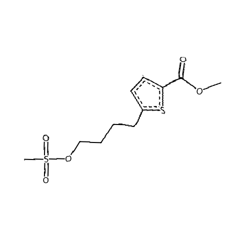 COC(=O)c1[c]cc(CCCCOS(C)(=O)=O)s1